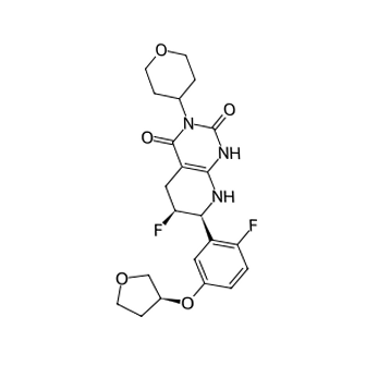 O=c1[nH]c2c(c(=O)n1C1CCOCC1)C[C@H](F)[C@H](c1cc(O[C@H]3CCOC3)ccc1F)N2